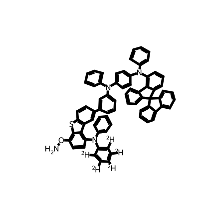 [2H]c1c([2H])c([2H])c(N(c2ccccc2)c2ccc(ON)c3sc4ccc(-c5cccc(N(c6ccccc6)c6ccc(N(c7ccccc7)c7cccc8c7-c7ccccc7C87c8ccccc8-c8ccccc87)cc6)c5)cc4c23)c([2H])c1[2H]